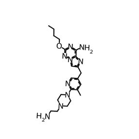 CCCCOc1nc(N)c2nc(Cc3cnc(N4CCN(CCN)CC4)c(C)c3)cn2n1